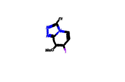 CCc1nnc2c(OC)c(I)ccn12